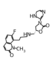 Cn1c(=O)ccc2ccc(F)c(CCCNC[C@@H]3CN(C4=CN=CCN4)C(=O)O3)c21